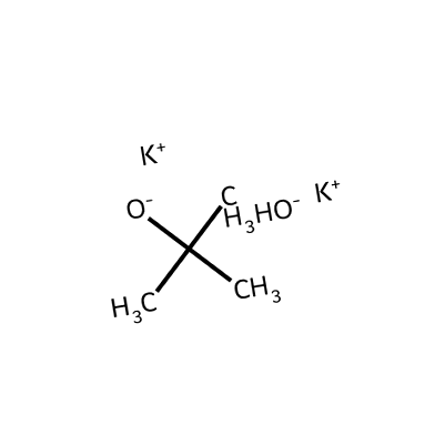 CC(C)(C)[O-].[K+].[K+].[OH-]